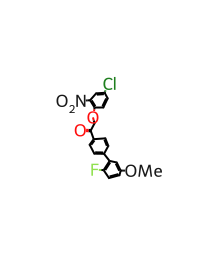 COc1ccc(F)c(-c2ccc(C(=O)COc3ccc(Cl)cc3[N+](=O)[O-])cc2)c1